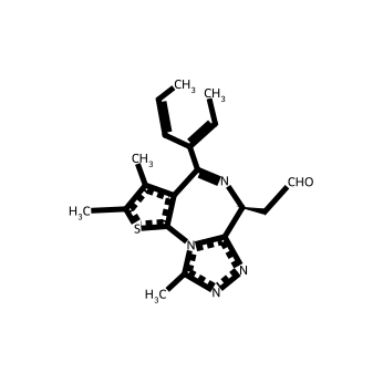 C/C=C\C(=C/C)C1=N[C@@H](CC=O)c2nnc(C)n2-c2sc(C)c(C)c21